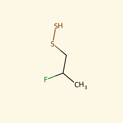 CC(F)CSS